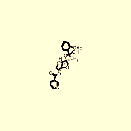 CC(=O)Oc1ccccc1C(C)(O)O[C@H]1COC2[C@H](OC(=O)c3cccnc3)CO[C@@H]21